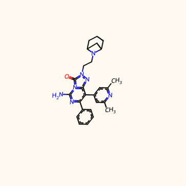 Cc1cc(-c2c(-c3ccccc3)nc(N)n3c(=O)n(CCN4C5CCCC4C5)nc23)cc(C)n1